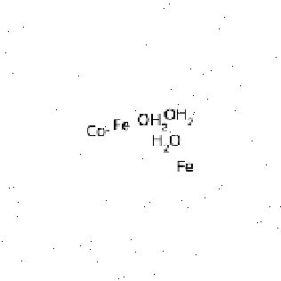 O.O.O.[Co].[Fe].[Fe]